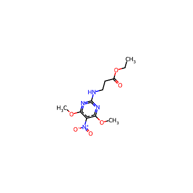 CCOC(=O)CCNc1nc(OC)c([N+](=O)[O-])c(OC)n1